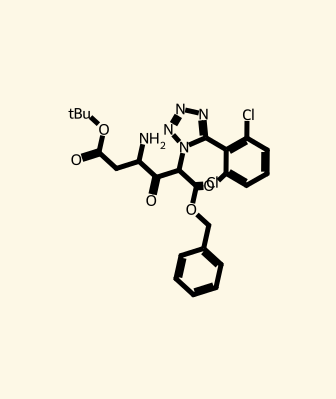 CC(C)(C)OC(=O)CC(N)C(=O)C(C(=O)OCc1ccccc1)n1nnnc1-c1c(Cl)cccc1Cl